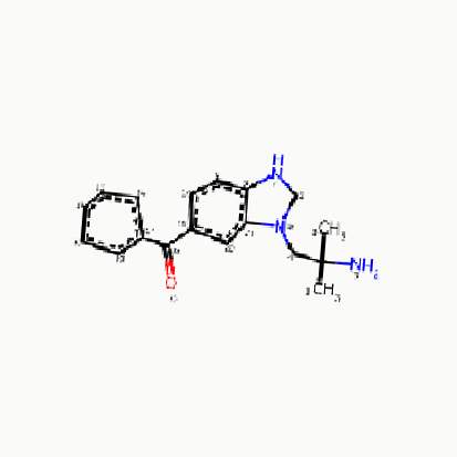 CC(C)(N)CN1[CH]Nc2ccc(C(=O)c3ccccc3)cc21